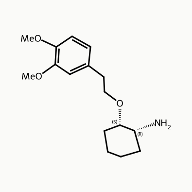 COc1ccc(CCO[C@H]2CCCC[C@H]2N)cc1OC